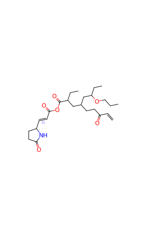 C=CC(=O)CCC(CC(CC)OCCC)CC(CC)C(=O)OC(=O)/C=C/C1CCC(=O)N1